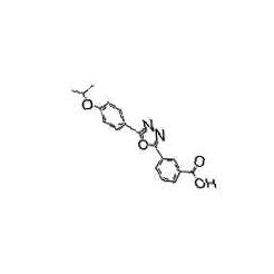 CC(C)Oc1ccc(-c2nnc(-c3cccc(C(=O)O)c3)o2)cc1